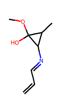 C=C/C=N/C1C(C)C1(O)OC